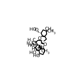 C[C@@H]1O[C@@]2(O)C3[C@H](O)CCC[C@H]3[C@@]13C(=O)[C@@]1(CCC4=C(O1)[C@H](COO)CC(C)(C)C4)CC(C)(C)[C@H]3[C@@H]2O